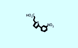 O=C(O)CCc1ccc(-c2cccc([N+](=O)[O-])c2)s1